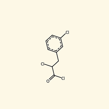 O=C(Cl)C(Cl)Cc1cccc(Cl)c1